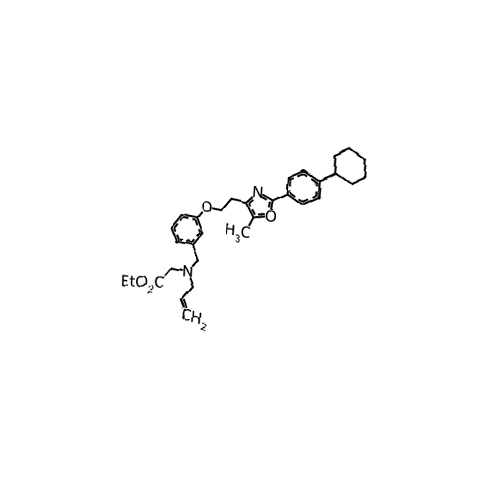 C=CCN(CC(=O)OCC)Cc1cccc(OCCc2nc(-c3ccc(C4CCCCC4)cc3)oc2C)c1